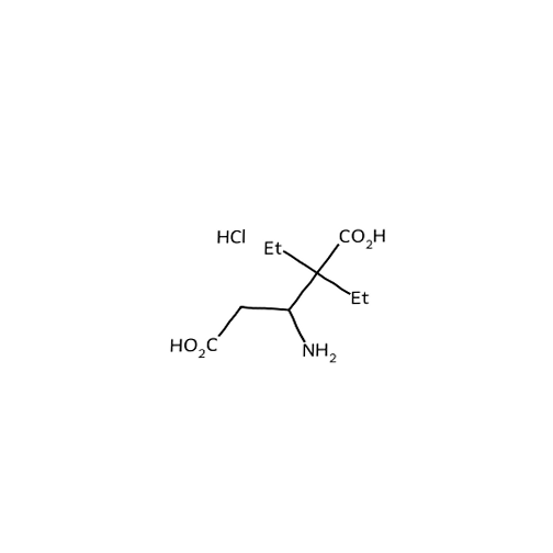 CCC(CC)(C(=O)O)C(N)CC(=O)O.Cl